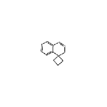 C1=NCC2(CCC2)c2ccccc21